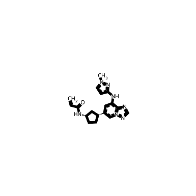 C=CC(=O)N[C@H]1CC[C@@H](c2cc(Nc3ccn(C)n3)c3ncnn3c2)C1